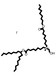 CCCCCCCCCOC(=O)CCCCCCC[N+](C)(CCO)CCCCCCCC(=O)OC(CCCCCCCC)CCCCCCCC.[I-]